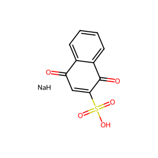 O=C1C=C(S(=O)(=O)O)C(=O)c2ccccc21.[NaH]